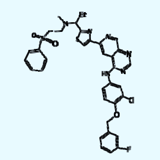 CCC(c1nc(-c2cc3c(Nc4ccc(OCc5cccc(F)c5)c(Cl)c4)ncnc3cn2)cs1)N(C)CCS(=O)(=O)c1ccccc1